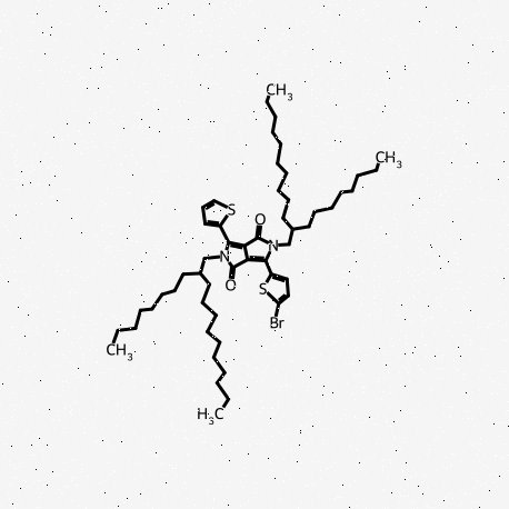 CCCCCCCCCCC(CCCCCCCC)CN1C(=O)C2=C(c3ccc(Br)s3)N(CC(CCCCCCCC)CCCCCCCCCC)C(=O)C2=C1c1cccs1